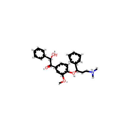 COc1cc(C(=O)[C@H](O)c2ccccc2)ccc1OC(CCN(C)C)c1ccccc1